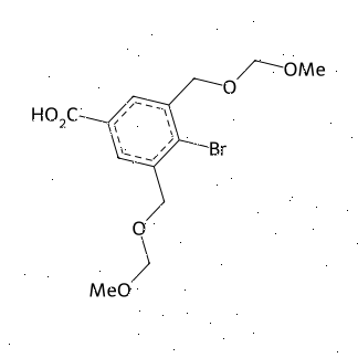 COCOCc1cc(C(=O)O)cc(COCOC)c1Br